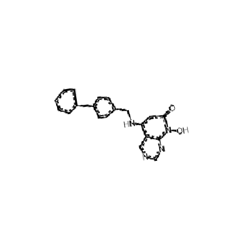 O=c1cc(NCc2ccc(-c3ccccc3)cc2)c2cncnc2n1O